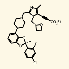 CCOC(=O)C#Cc1c(C)nc(CN2CCC(c3cccc4c3O[C@@](C)(c3ccc(Cl)cc3F)O4)CC2)n1C[C@@H]1CCO1